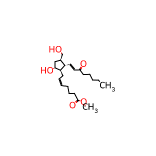 CCCCCC(=O)/C=C/[C@H]1[C@H](CO)C[C@@H](O)[C@@H]1C/C=C\CCCC(=O)OC